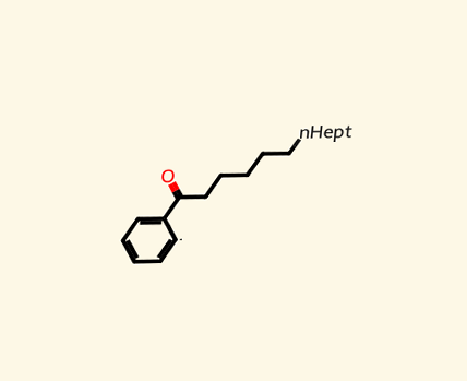 CCCCCCCCCCCCC(=O)c1[c]cccc1